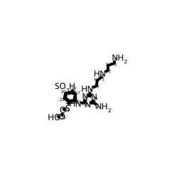 NCCCNCCCNc1nc(N)nc(Nc2cc(S(=O)(=O)O)ccc2SOOO)n1